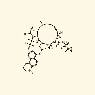 CC[C@@H]1C[C@@H](C)CCC=C[C@@H]2C[C@@]2(C(=O)NS(=O)(=O)C2(C)CC2)NC(=O)[C@@H]2C[C@@H](Oc3nccc4c5c(ccc34)N(C)CCO5)CN2C(=O)[C@H]1N(C(=O)O)C(C)(C)C(F)(F)F